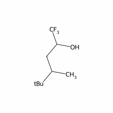 CC(CC(O)C(F)(F)F)C(C)(C)C